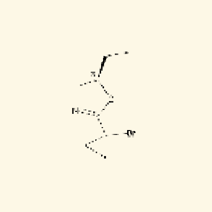 CC[C@@H]1CN=C(C2(Br)CC2)O1